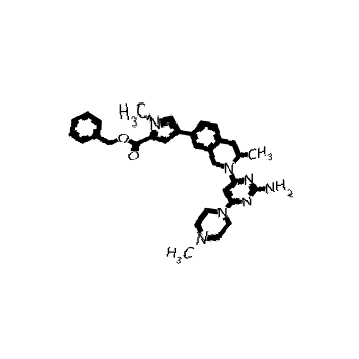 CC1Cc2ccc(-c3cc(C(=O)OCc4ccccc4)n(C)c3)cc2CN1c1cc(N2CCN(C)CC2)nc(N)n1